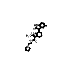 Cc1[nH]c2c(c1C(=O)NCCN1CCCC1)CCC/C2=C1/C(=O)Nc2ccc(F)cc21